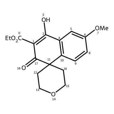 CCOC(=O)C1=C(O)c2cc(OC)ccc2C2(CCOCC2)C1=O